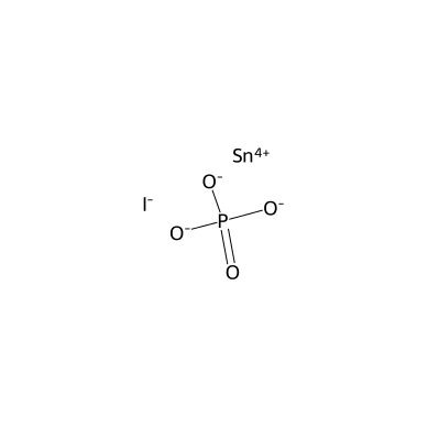 O=P([O-])([O-])[O-].[I-].[Sn+4]